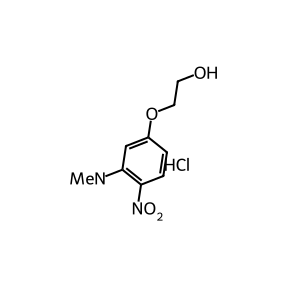 CNc1cc(OCCO)ccc1[N+](=O)[O-].Cl